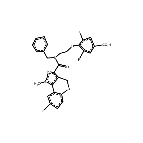 Cn1nc(C(=O)N(CCOc2c(F)cc(C(=O)O)cc2F)Cc2ccccc2)c2c1-c1cc(F)ccc1OC2